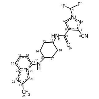 N#Cc1nn(C(F)F)cc1C(=O)NC1CCC(Nc2cccc3nc(C(F)(F)F)cn23)CC1